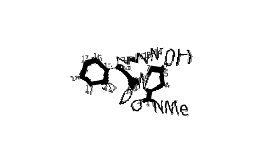 CNC(=O)C1CC(O)CN1C(=O)[C@@H](N=[N+]=[N-])C1CCCCC1